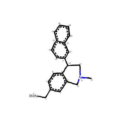 CNCc1ccc2c(c1)CN(C)CC2c1ccc2ccccc2c1